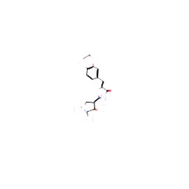 CC1NC/C(=c2/[nH]c(=O)/c(=C/c3ccc4c(c3)OCCO4)s2)C1=O